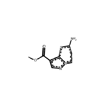 COC(=O)c1cnn2ccc(N)nc12